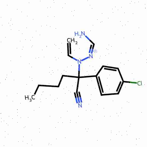 C=CN(/N=C\N)C(C#N)(CCCC)c1ccc(Cl)cc1